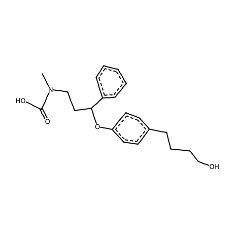 CN(CCC(Oc1ccc(CCCCO)cc1)c1ccccc1)C(=O)O